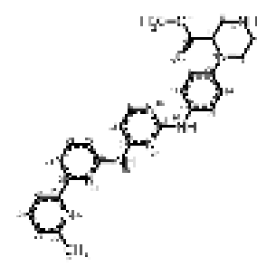 COC(=O)C1CNCCN1c1ccc(Nc2nccc(Nc3ccnc(-c4cccc(C)n4)n3)n2)cc1